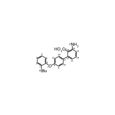 CC(C)(C)c1ccccc1Oc1ccc(-c2cccc(N)c2C(=O)O)cc1